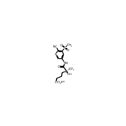 CCOC(=O)CCC[C@](C)(O)C(=O)Nc1cnc(C#N)c(S(C)(=O)=O)c1